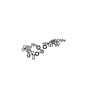 CCCN(CC(=O)Nc1ccc([C@@H]2CC[C@@H](c3ccc(NC(=O)[C@@H]4CCCN4C(=O)CNC(=O)OC)cc3)N2c2ccc(C(C)(C)C)cc2)cc1)C(=O)C(NC(=O)OC)C(C)C